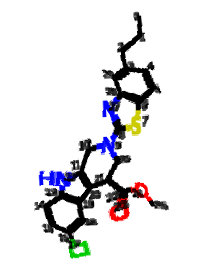 CCCc1ccc2sc(N3Cc4[nH]c5ccc(Cl)cc5c4C(C(=O)OC)C3)nc2c1